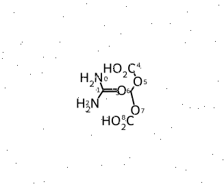 NC(N)=O.O=C(O)OCOC(=O)O